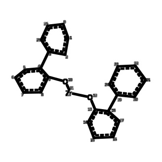 c1ccc(-c2ccccc2[O][Zr][O]c2ccccc2-c2ccccc2)cc1